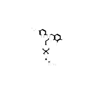 CC(C)(C)OC(=O)N1CC2(COC(CCN(Cc3ccc(F)c(F)c3F)c3ccc(C#N)cn3)OC2)C1